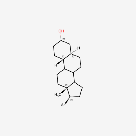 CC(=O)[C@@H]1CCC2C3CC[C@@H]4C[C@@H](O)CC[C@H]4C3CC[C@]21C